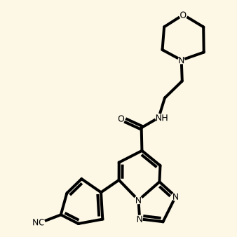 N#Cc1ccc(-c2cc(C(=O)NCCN3CCOCC3)cc3ncnn23)cc1